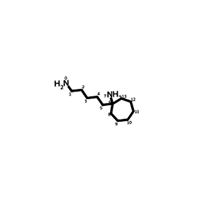 NCCCCCC1(N)CCCCCC1